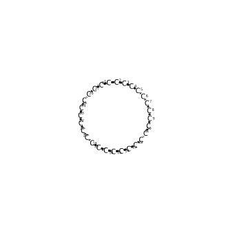 [CH]1CCCCCCCCCCCCCCCCCCCCCCCCCCC1